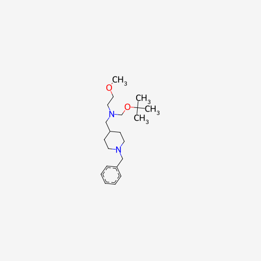 COCCN(COC(C)(C)C)CC1CCN(Cc2ccccc2)CC1